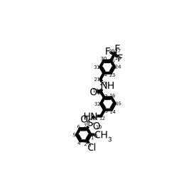 Cc1c(Cl)cccc1S(=O)(=O)NCc1cccc(C(=O)NCc2ccc(C(F)(F)F)cc2)c1